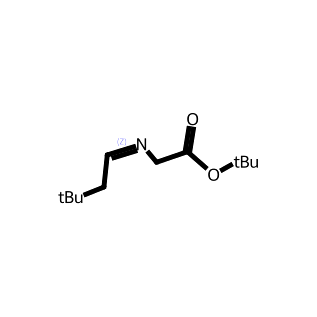 CC(C)(C)C/C=N\CC(=O)OC(C)(C)C